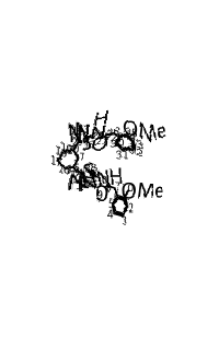 COc1ccccc1CC(=O)Nc1nnc(C2CCCCC(c3nnc(NC(=O)Cc4ccccc4OC)s3)C2)s1